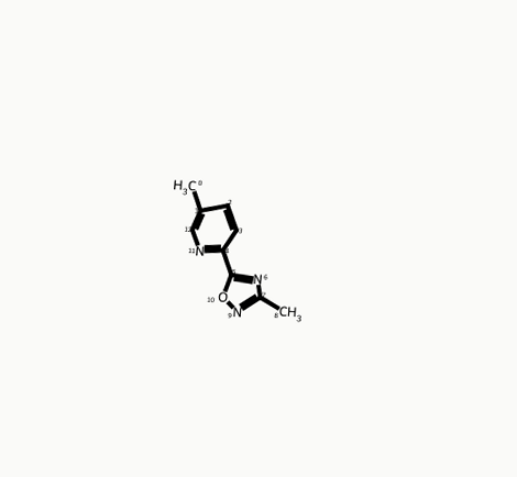 Cc1ccc(-c2nc(C)no2)nc1